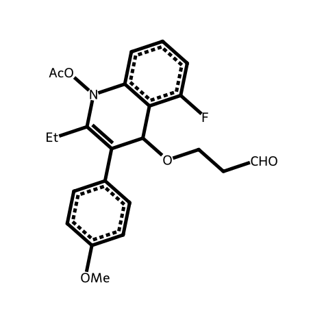 CCC1=C(c2ccc(OC)cc2)C(OCCC=O)c2c(F)cccc2N1OC(C)=O